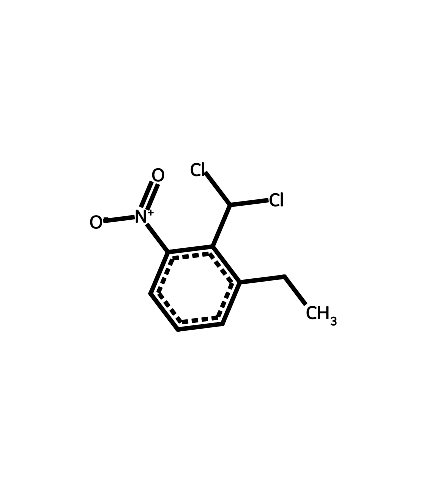 CCc1cccc([N+](=O)[O-])c1C(Cl)Cl